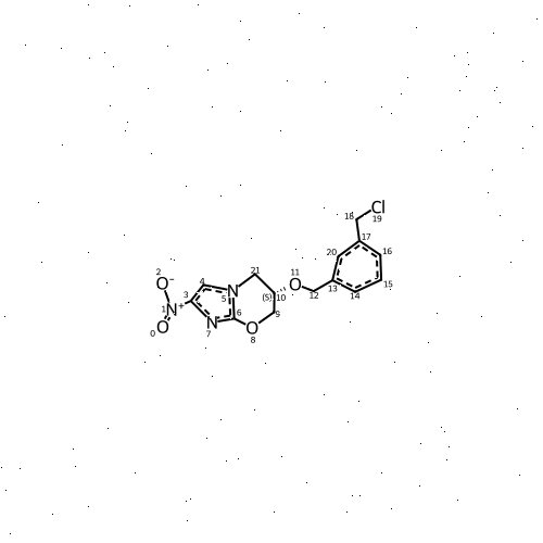 O=[N+]([O-])c1cn2c(n1)OC[C@@H](OCc1cccc(CCl)c1)C2